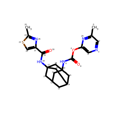 Cc1cncc(OC(=O)NC23CC4CC(C2)CC(NC(=O)c2csc(C)n2)(C4)C3)n1